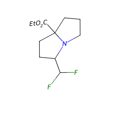 CCOC(=O)C12CCCN1C(C(F)F)CC2